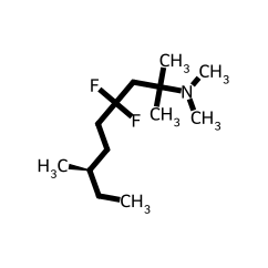 CC[C@@H](C)CCC(F)(F)CC(C)(C)N(C)C